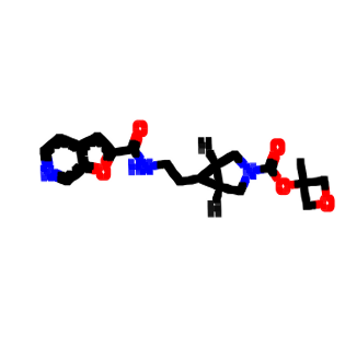 CC1(OC(=O)N2C[C@@H]3C(CCNC(=O)c4cc5ccncc5o4)[C@@H]3C2)COC1